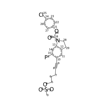 CS(=O)(=O)OCCCC#Cc1cc2c(cc1F)N(C(=O)Oc1ccc(Cl)cc1)CC2